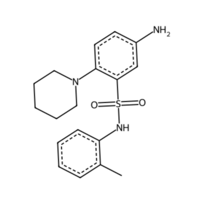 Cc1ccccc1NS(=O)(=O)c1cc(N)ccc1N1CCCCC1